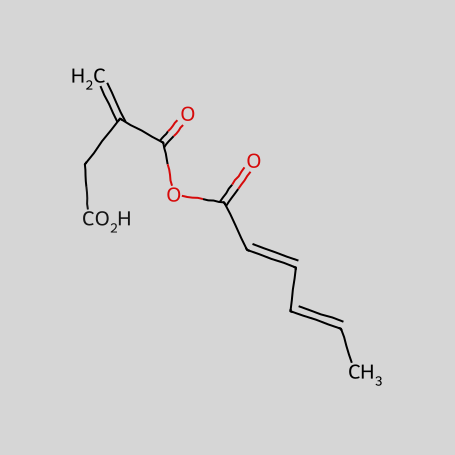 C=C(CC(=O)O)C(=O)OC(=O)C=CC=CC